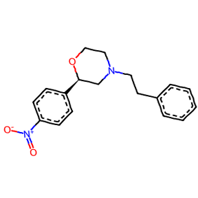 O=[N+]([O-])c1ccc([C@@H]2CN(CCc3ccccc3)CCO2)cc1